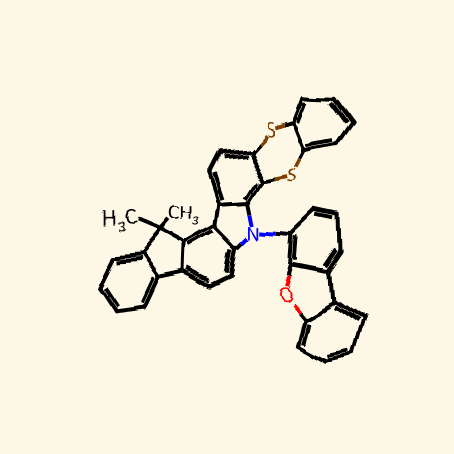 CC1(C)c2ccccc2-c2ccc3c(c21)c1ccc2c(c1n3-c1cccc3c1oc1ccccc13)Sc1ccccc1S2